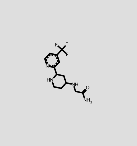 NC(=O)CNC1CCNC(c2cc(C(F)(F)F)ccn2)C1